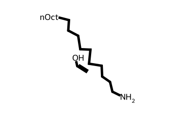 C=CO.CCCCCCCCCCCCCCCCCCN